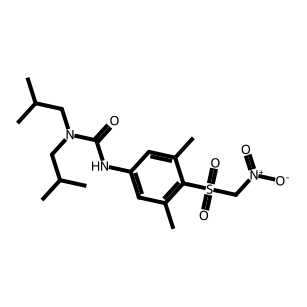 Cc1cc(NC(=O)N(CC(C)C)CC(C)C)cc(C)c1S(=O)(=O)C[N+](=O)[O-]